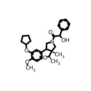 COc1ccc(C2CN(C(=O)C(O)c3ccccc3)C[C@]2(C)[C@@H](C)O)cc1OC1CCCC1